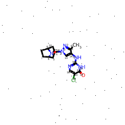 Cc1nn(C2CC3CCC(C2)N3C)cc1Nc1ncc(Cl)c(=O)[nH]1